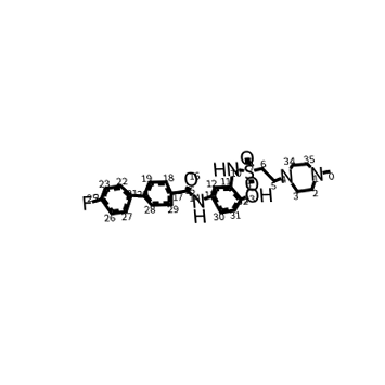 CN1CCN(CCS(=O)(=O)Nc2cc(NC(=O)c3ccc(-c4ccc(F)cc4)cc3)ccc2O)CC1